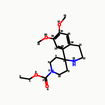 CCOC(=O)N1CCC2(CC1)NCCc1cc(OC)c(OC)cc12